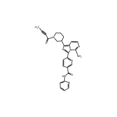 CC#CC(=O)N1CCCC(c2nc(-c3ccc(C(=O)Nc4ccccn4)cn3)n3c(N)nccc23)C1